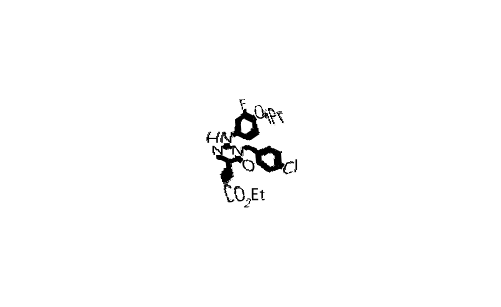 CCOC(=O)/C=C/c1cnc(Nc2ccc(OC(C)C)c(F)c2)n(Cc2ccc(Cl)cc2)c1=O